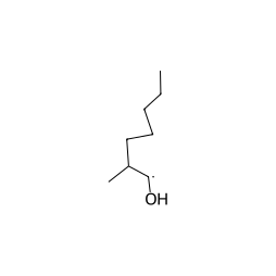 CCCCCC(C)[CH]O